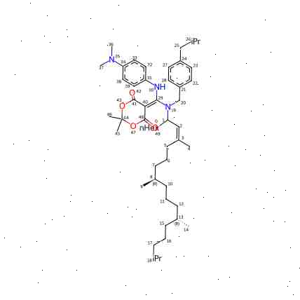 CCCCCCC(C=C(C)CCC[C@H](C)CCC[C@H](C)CCCC(C)C)N(Cc1ccc(CC(C)C)cc1)C(Nc1ccc(N(C)C)cc1)=C1C(=O)OC(C)(C)OC1=O